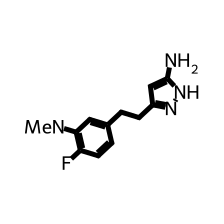 CNc1cc(CCc2cc(N)[nH]n2)ccc1F